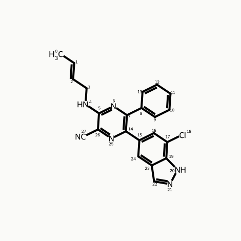 C/C=C/CNc1nc(-c2ccccc2)c(-c2cc(Cl)c3[nH]ncc3c2)nc1C#N